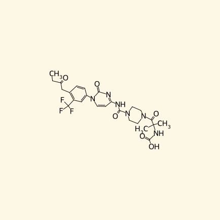 CCC(=O)Cc1ccc(-n2ccc(NC(=O)N3CCN(C(=O)C(C)(C)NC(=O)O)CC3)nc2=O)cc1C(F)(F)F